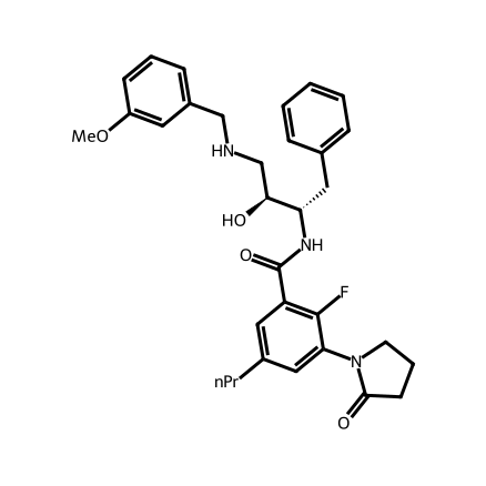 CCCc1cc(C(=O)N[C@@H](Cc2ccccc2)[C@@H](O)CNCc2cccc(OC)c2)c(F)c(N2CCCC2=O)c1